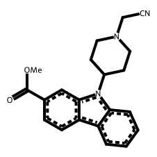 COC(=O)c1ccc2c3ccccc3n(C3CCN(CC#N)CC3)c2c1